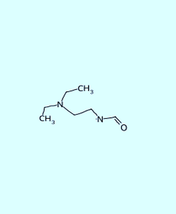 CCN(CC)CC[N]C=O